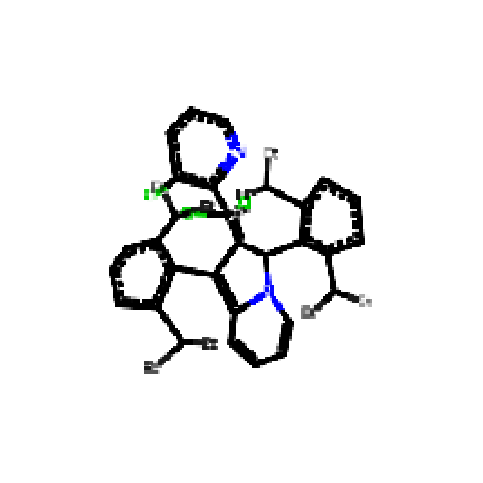 CCC(CC)c1cccc(C(CC)CC)c1C1=C2C=CC=CN2C(c2c(C(CC)CC)cccc2C(CC)CC)[C]1=[Pd-3]([Cl])([Cl])[c]1ncccc1Cl